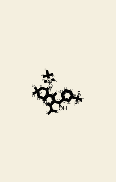 CC(C)c1nc2c(c(I)c1[C@H](O)c1cccc(C(F)(F)F)c1)C(O[Si](C)(C)C(C)(C)C)CC(C)(C)C2